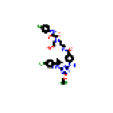 O=C(Nc1ccc(F)cc1)C(=O)N(CCO)CCCNC(=O)c1ccc(Nc2nc(NC3(c4ccc(Cl)cc4)CC3)nc(OCC(F)(F)F)n2)cc1